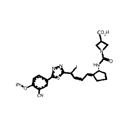 CC(C)Oc1ccc(-c2nnc(C(I)/C=C\C=C3/CCC[C@H]3NC(=O)N3CC(C(=O)O)C3)s2)cc1C#N